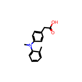 Cc1ccccc1N(C)c1ccc(CC(=O)O)cc1